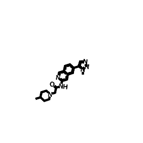 CC1CCN(CC(=O)Nc2cc3cc(-c4cnnn4C)ccc3cn2)CC1